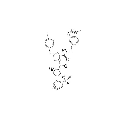 Cc1ccc(C[C@@H]2C[C@@H](C(=O)NCc3ccc4c(c3)nnn4C)N(C(=O)[C@H]3CC(c4cnccc4C(F)(F)F)CN3)C2)cc1